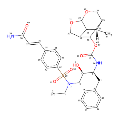 CC(C)CN(C[C@@H](O)[C@H](Cc1ccccc1)NC(=O)OC1C2COC3OCC1[C@H](C)C32)S(=O)(=O)c1ccc(/C=C/C(N)=O)cc1